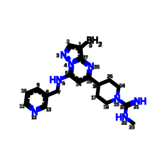 Bc1cnn2c(NCc3cccnc3)cc(C3CCN(C(=N)NC)CC3)nc12